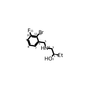 CC[C@@H](O)CNCc1cccc(F)c1Br